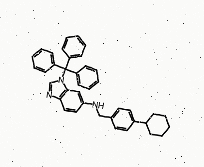 c1ccc(C(c2ccccc2)(c2ccccc2)n2cnc3ccc(NCc4ccc(C5CCCCC5)cc4)cc32)cc1